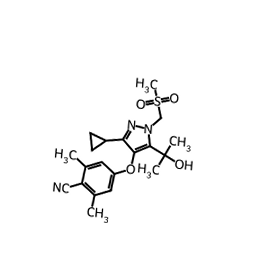 Cc1cc(Oc2c(C3CC3)nn(CS(C)(=O)=O)c2C(C)(C)O)cc(C)c1C#N